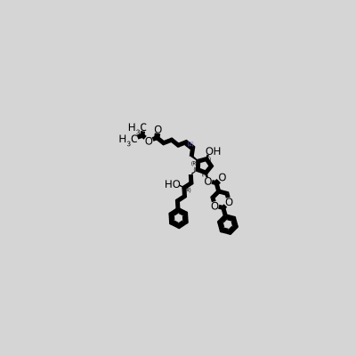 CC(C)OC(=O)CCC/C=C\C[C@@H]1[C@@H](CC[C@@H](O)CCc2ccccc2)[C@H](OC(=O)C2COC(c3ccccc3)OC2)C[C@@H]1O